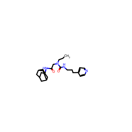 CCCN(CC(=O)NC12CC3CC(CC(C3)C1)C2)C(=O)NCCCc1ccncc1